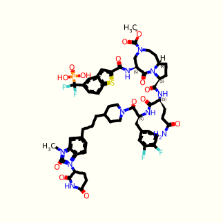 COC(=O)N1CC[C@H]2CC[C@@H](C(=O)N[C@@H](CCC(N)=O)C(=O)N[C@@H](Cc3ccc(F)c(F)c3)C(=O)N3CCC(CCCc4ccc5c(c4)n(C)c(=O)n5C4CCC(=O)NC4=O)CC3)N2C(=O)[C@@H](NC(=O)c2cc3cc(C(F)(F)P(=O)(O)O)ccc3s2)C1